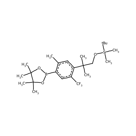 Cc1cc(C(C)(C)CO[Si](C)(C)C(C)(C)C)c(C(F)(F)F)cc1B1OC(C)(C)C(C)(C)O1